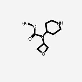 CC(C)(C)OC(=O)N(C1CCNCC1)C1COC1